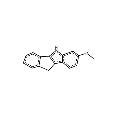 COc1ccc2c3c([nH]c2c1)-c1ccccc1C3